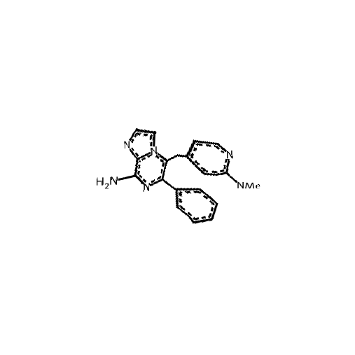 CNc1cc(-c2c(-c3ccccc3)nc(N)c3nccn23)ccn1